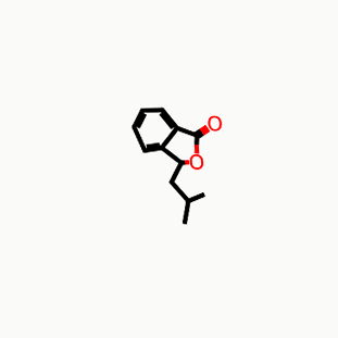 CC(C)CC1OC(=O)c2ccccc21